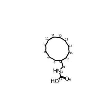 O=C(O)NCC1CCCCCCCCCCC1